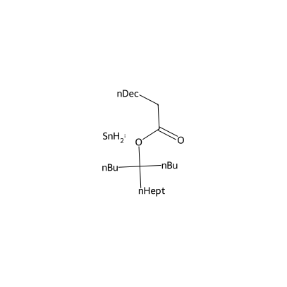 CCCCCCCCCCCC(=O)OC(CCCC)(CCCC)CCCCCCC.[SnH2]